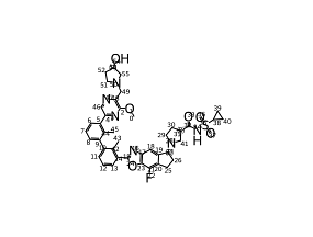 COc1nc(-c2cccc(-c3cccc(-c4nc5cc6c(c(F)c5o4)CC[C@H]6N4CC[C@@H](C(=O)NS(=O)(=O)C5CC5)C4)c3C)c2C)cnc1CN1CC[C@@H](O)C1